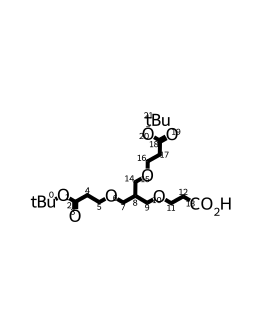 CC(C)(C)OC(=O)CCOCC(COCCC(=O)O)COCCC(=O)OC(C)(C)C